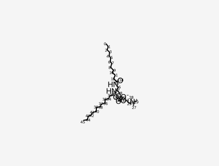 CCCCCCCCCCCCCC(=O)NCC(COP(=O)([O-])OCC[N+](C)(C)C)NC(=O)CCCCCCCCCCCCC